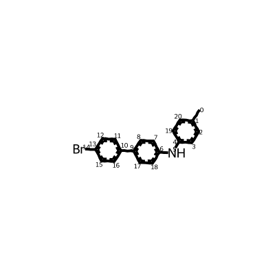 Cc1ccc(Nc2ccc(-c3ccc(Br)cc3)cc2)cc1